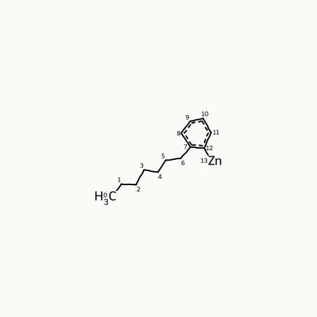 CCCCCCCc1cccc[c]1[Zn]